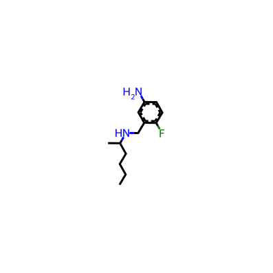 CCCCC(C)NCc1cc(N)ccc1F